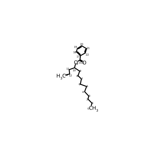 CCCCCCCCCCC(CCC)OC(=O)c1ccccc1